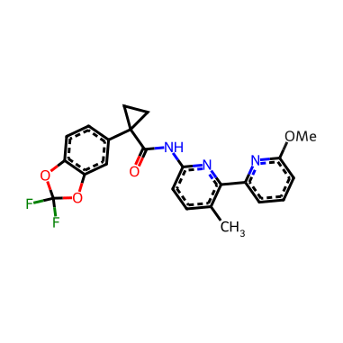 COc1cccc(-c2nc(NC(=O)C3(c4ccc5c(c4)OC(F)(F)O5)CC3)ccc2C)n1